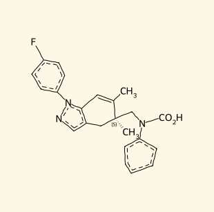 CC1=Cc2c(cnn2-c2ccc(F)cc2)C[C@]1(C)CN(C(=O)O)c1ccccc1